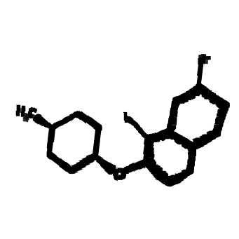 C[C@H]1CC[C@@H](Oc2ccc3ccc(Br)cc3c2I)CC1